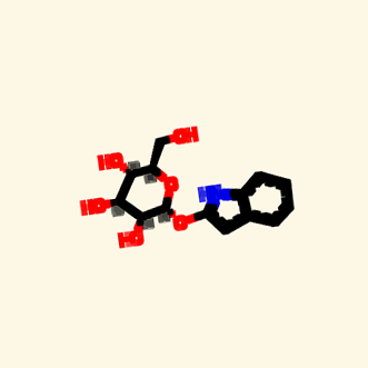 OC[C@H]1O[C@H](Oc2cc3ccccc3[nH]2)[C@@H](O)[C@@H](O)[C@@H]1O